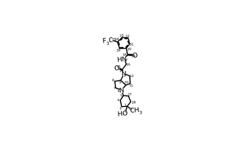 CC1(O)CCC(N2CCC3C2CCN3C(=O)CNC(=O)c2cccc(C(F)(F)F)c2)CC1